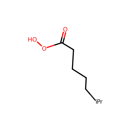 CC(C)CCCCC(=O)OO